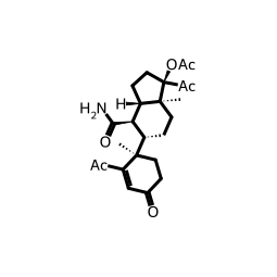 CC(=O)O[C@]1(C(C)=O)CC[C@H]2[C@H](C(N)=O)[C@@H]([C@@]3(C)CCC(=O)C=C3C(C)=O)CC[C@@]21C